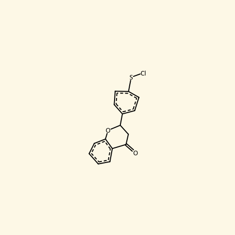 O=C1CC(c2ccc(SCl)cc2)Oc2ccccc21